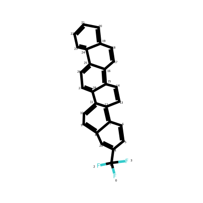 FC(F)(F)c1ccc2c(ccc3c2ccc2c4ccc5ccccc5c4ccc32)c1